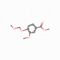 COCOc1ccc(C(=O)OC)cc1OC